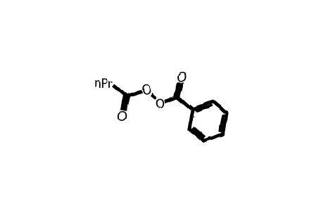 CCCC(=O)OOC(=O)c1ccccc1